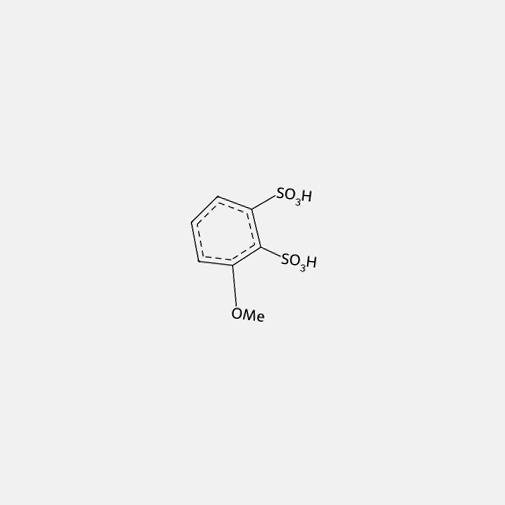 COc1cccc(S(=O)(=O)O)c1S(=O)(=O)O